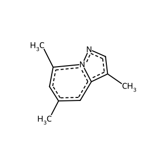 Cc1cc(C)n2ncc(C)c2c1